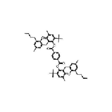 CCCCc1cc(C)cc(Cc2cc(C)cc(C(C)(C)C)c2OC(=O)c2ccc(C(=O)Oc3c(Cc4cc(C)cc(CCCC)c4O)cc(C)cc3C(C)(C)C)cc2)c1O